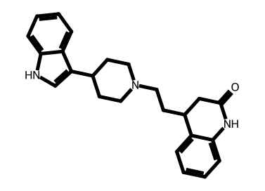 O=C1CC(CCN2CCC(c3c[nH]c4ccccc34)CC2)c2ccccc2N1